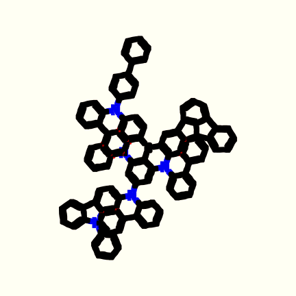 c1ccc(-c2ccc(N(c3ccc4c(c3)N(c3ccccc3)c3cc(N(c5ccc6c7ccccc7n(-c7ccccc7)c6c5)c5ccccc5-c5ccccc5)cc5c3B4c3cc4c(cc3N5c3ccccc3-c3ccccc3)C3c5ccccc5-c5cccc-4c53)c3ccccc3-c3ccccc3)cc2)cc1